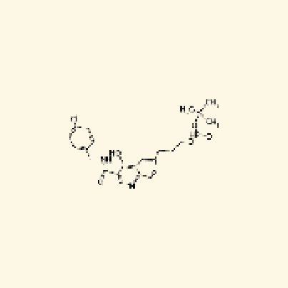 CC(C)(C)O[PH](=O)OCCCc1ccc2ncc(C(=O)NCc3ccc(Cl)cc3)c(O)c2c1